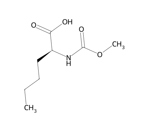 CCCC[C@H](NC(=O)OC)C(=O)O